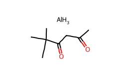 CC(=O)CC(=O)C(C)(C)C.[AlH3]